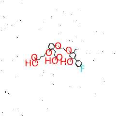 CCc1cc(-c2ccc(F)cc2)c(O)cc1OCCCOc1cccc(OCCCCC(=O)O)c1CCC(=O)O